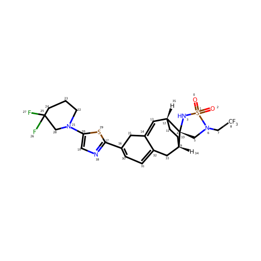 O=S1(=O)N[C@]2(CN1CC(F)(F)F)[C@H]1CC[C@@H]2C=C2CC(c3ncc(N4CCCC(F)(F)C4)s3)=CC=C2C1